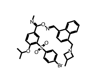 C/N=C(\O/N=C/c1ccc(CN2CC(C)C2)c2ccccc12)c1ccc(OC(C)C)c(S(=O)(=O)c2ccc(Br)cc2)c1